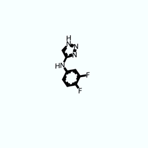 Fc1ccc(Nc2c[nH]nn2)cc1F